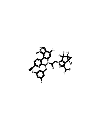 C#Cc1ccc(-c2ccc(Cl)c3cnn(C)c23)c([C@H](Cc2cc(F)cc(F)c2)NC(=O)Cn2nc(C(F)F)c3c2C(F)(F)[C@@H]2C[C@H]32)n1